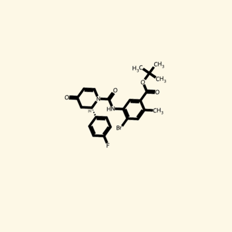 Cc1cc(Br)c(NC(=O)N2C=CC(=O)C[C@H]2c2ccc(F)cc2)cc1C(=O)OC(C)(C)C